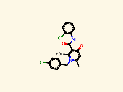 CCCCc1c(C(=O)Nc2ccccc2Cl)c(=O)cc(C)n1Cc1ccc(Cl)cc1